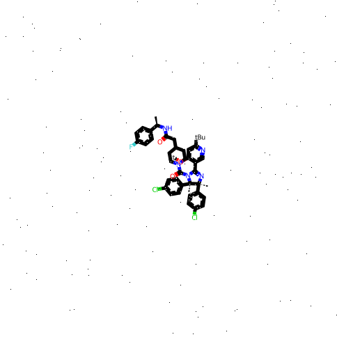 CCOc1cc(C(C)(C)C)ncc1C1=N[C@@](C)(c2ccc(Cl)cc2)[C@@](C)(c2ccc(Cl)cc2)N1C(=O)N1CCC(CC(=O)N[C@H](C)c2ccc(F)cc2)CC1